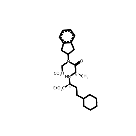 CCOC(=O)[C@H](CCC1CCCCC1)N[C@@H](C)C(=O)N(CC(=O)O)C1Cc2ccccc2C1